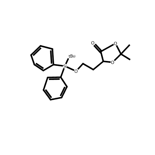 CC1(C)OC(=O)C(CCO[Si](c2ccccc2)(c2ccccc2)C(C)(C)C)O1